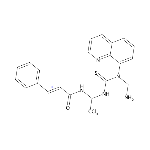 NCN(C(=S)NC(NC(=O)/C=C/c1ccccc1)C(Cl)(Cl)Cl)c1cccc2cccnc12